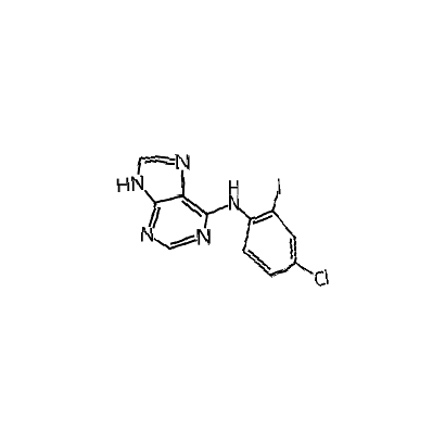 Clc1ccc(Nc2ncnc3[nH]cnc23)c(I)c1